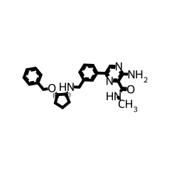 CNC(=O)c1nc(-c2cccc(CN[C@@H]3CCC[C@H]3OCc3ccccc3)c2)cnc1N